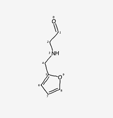 O=CCNCc1ccco1